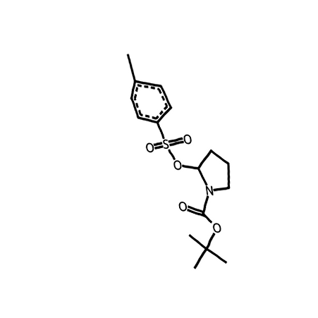 Cc1ccc(S(=O)(=O)OC2CCCN2C(=O)OC(C)(C)C)cc1